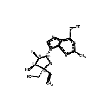 C=C[C@]1(CO)O[C@@H](n2cnc3c(OCC)nc(C)nc32)[C@H](F)[C@@H]1O